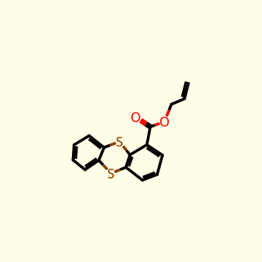 C=CCOC(=O)c1cccc2c1Sc1ccccc1S2